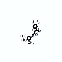 CSc1ccc2c(C(F)(F)F)c(C(=O)/C=C/c3cc(C)c(O)c(C)c3)oc2c1